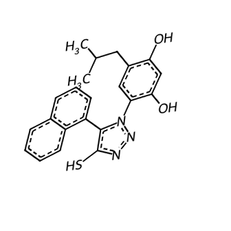 CC(C)Cc1cc(-n2nnc(S)c2-c2cccc3ccccc23)c(O)cc1O